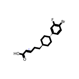 O=C(O)/C=C/CC[C@H]1CC[C@H](c2ccc(Br)c(F)c2)CC1